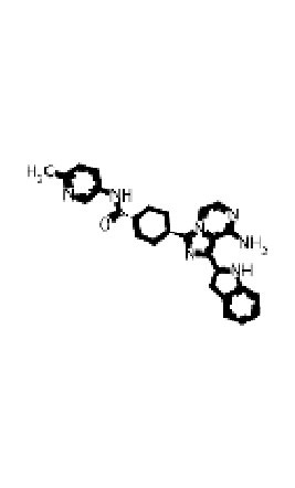 Cc1ccc(NC(=O)[C@H]2CC[C@H](c3nc(C4Cc5ccccc5N4)c4c(N)nccn43)CC2)cn1